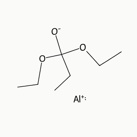 CCOC([O-])(CC)OCC.[Al+]